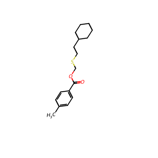 Cc1ccc(C(=O)OCSCCC2CCCCC2)cc1